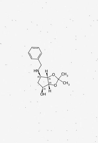 CC1(C)O[C@@H]2[C@H](O1)[C@@H](O)C[C@H]2NCc1ccccc1